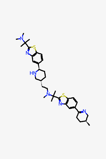 C[C@H]1CCC(c2ccc3sc(C(C)(C)N(C)CC[C@H]4CC[C@H](c5ccc6sc(C(C)(C)N(C)C)nc6c5)NC4)nc3c2)=NC1